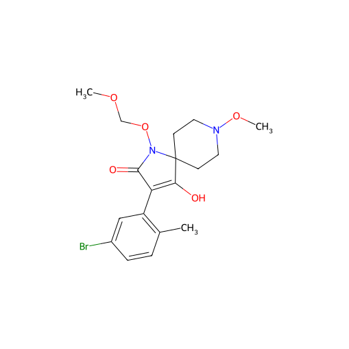 COCON1C(=O)C(c2cc(Br)ccc2C)=C(O)C12CCN(OC)CC2